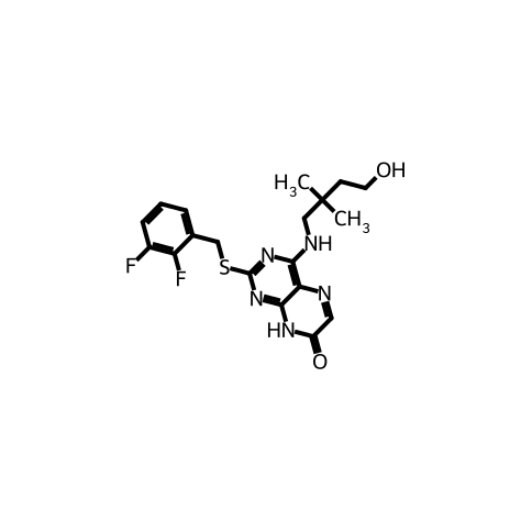 CC(C)(CCO)CNc1nc(SCc2cccc(F)c2F)nc2[nH]c(=O)cnc12